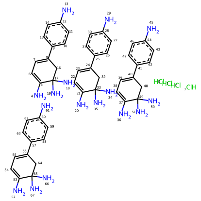 Cl.Cl.Cl.Cl.NC1=CC=C(c2ccc(N)cc2)CC1(N)N.NC1=CC=C(c2ccc(N)cc2)CC1(N)N.NC1=CC=C(c2ccc(N)cc2)CC1(N)N.NC1=CC=C(c2ccc(N)cc2)CC1(N)N